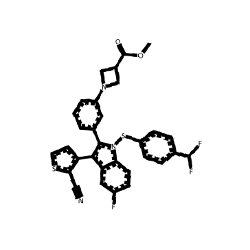 COC(=O)C1CN(c2cccc(-c3c(-c4ccsc4C#N)c4cc(F)ccc4n3Sc3ccc(C(F)F)cc3)c2)C1